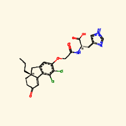 CCC[C@]12CCC(=O)C=C1c1c(cc(OCC(=O)N[C@@H](Cc3c[nH]cn3)C(=O)O)c(Cl)c1Cl)C2